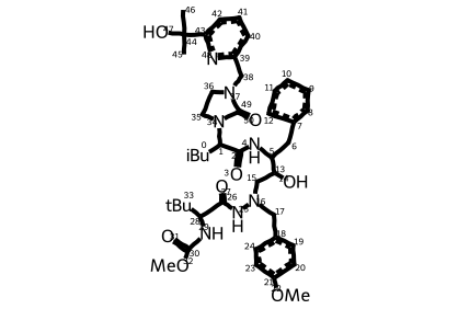 CCC(C)C(C(=O)NC(Cc1ccccc1)C(O)CN(Cc1ccc(OC)cc1)NC(=O)C(NC(=O)OC)C(C)(C)C)N1CCN(Cc2cccc(C(C)(C)O)n2)C1=O